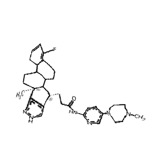 CN1CCN(c2ccc(NC(=O)CC[C@@H]3c4c[nH]nc4[C@@]4(C)CCC5C6CC=CC(F)=C6CCC5C34)nc2)CC1